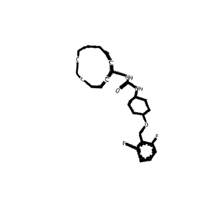 O=C(NC1CCCCCCCCCCC1)NC1CCC(OCc2c(F)cccc2F)CC1